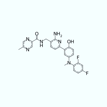 Cc1cnc(C(=O)NCc2ccc(-c3cc(N(C)c4ccc(F)cc4F)ccc3O)nc2N)cn1